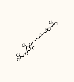 ClC(Cl)=CCON=CCCOCCCCCOc1c(Cl)cc(OCC=C(Cl)Cl)cc1Cl